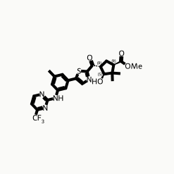 COC(=O)[C@@H]1C[C@@H](C(=O)c2ncc(-c3cc(C)cc(Nc4nccc(C(F)(F)F)n4)c3)s2)[C@H](O)C1(C)C